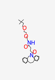 CC(C)(C)CCOCCOCCNC(=O)CCC(=O)N1Cc2ccccc2CCc2ccccc21